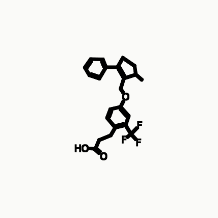 CC1CCC(c2ccccc2)=C1COc1ccc(CCC(=O)O)c(C(F)(F)F)c1